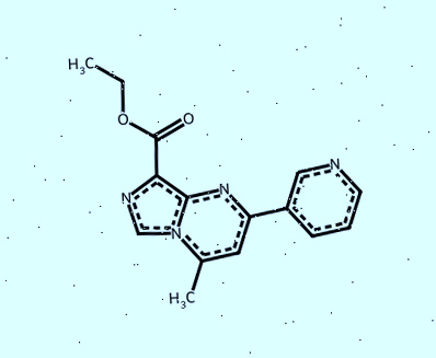 CCOC(=O)c1ncn2c(C)cc(-c3cccnc3)nc12